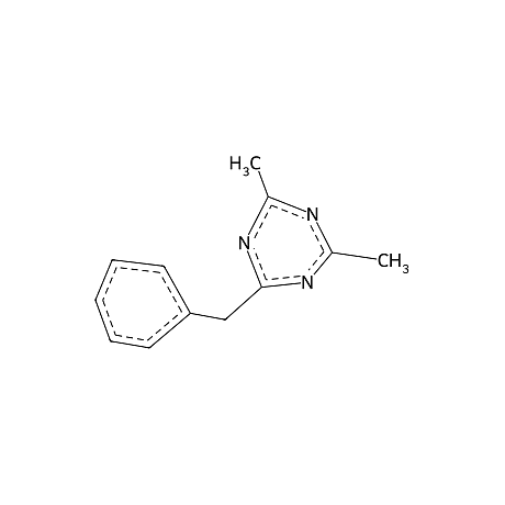 Cc1nc(C)nc(Cc2ccccc2)n1